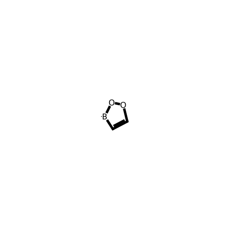 [B]1C=COO1